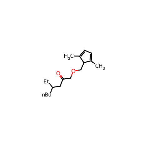 CCCCC(CC)CC(=O)COCC1C(C)=CC=C1C